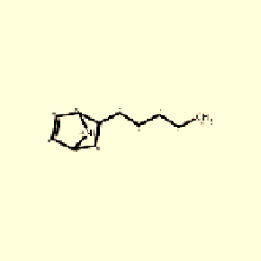 CCCCCC1CC2C=CC1N2